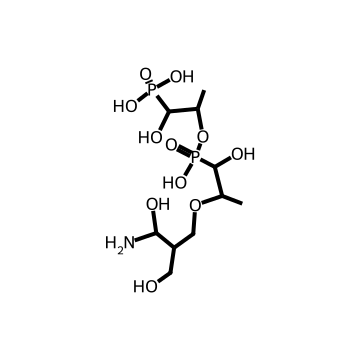 CC(OP(=O)(O)C(O)C(C)OCC(CO)C(N)O)C(O)P(=O)(O)O